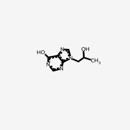 CC(O)Cn1cnc2c(O)ncnc21